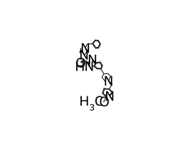 COc1ccc(CN2CCC(c3ccc4nc(C(=O)N5CCN(Cc6ccccc6)C5)[nH]c4c3)CC2)cn1